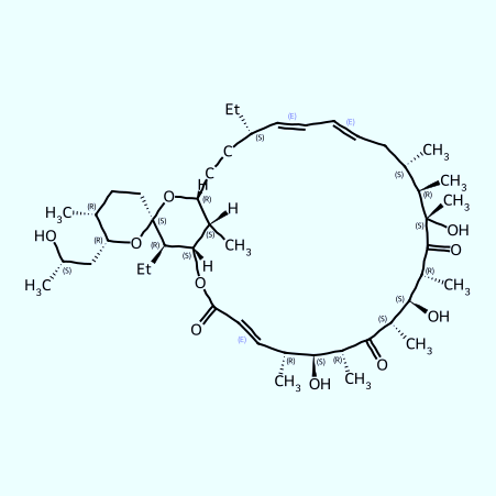 CC[C@@H]1/C=C/C=C/C[C@H](C)[C@@H](C)[C@](C)(O)C(=O)[C@H](C)[C@@H](O)[C@H](C)C(=O)[C@H](C)[C@@H](O)[C@H](C)/C=C/C(=O)O[C@H]2[C@@H](C)[C@@H](CC1)O[C@@]1(CC[C@@H](C)[C@@H](C[C@H](C)O)O1)[C@@H]2CC